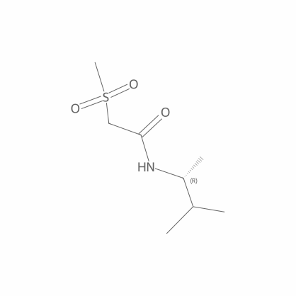 CC(C)[C@@H](C)NC(=O)CS(C)(=O)=O